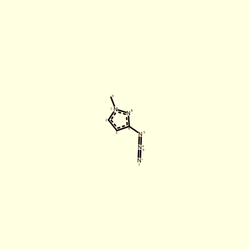 Cn1ccc(N=[N+]=[N-])n1